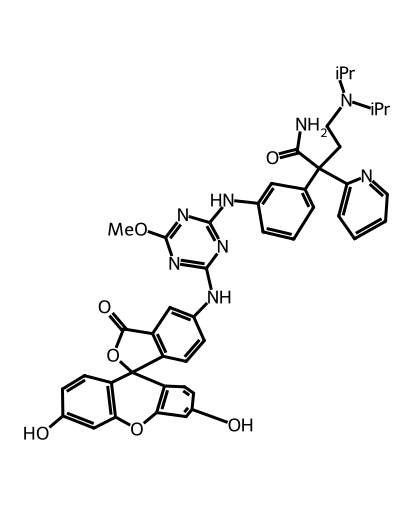 COc1nc(Nc2cccc(C(CCN(C(C)C)C(C)C)(C(N)=O)c3ccccn3)c2)nc(Nc2ccc3c(c2)C(=O)OC32c3ccc(O)cc3Oc3cc(O)ccc32)n1